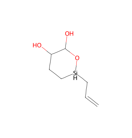 C=CC[SiH]1CCC(O)C(O)O1